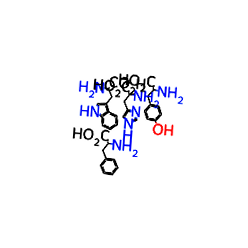 NC(Cc1c[nH]c2ccccc12)C(=O)O.NC(Cc1c[nH]cn1)C(=O)O.NC(Cc1ccc(O)cc1)C(=O)O.NC(Cc1ccccc1)C(=O)O